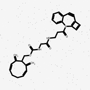 C=C1/C=C\CC/C=C\C(=C)C1COC(=O)NCC(=O)NCCC(=O)n1c2ccc=2c#cc2ccccc21